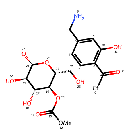 CCC(=O)c1ccc(CN)cc1O.COC(=O)O[C@H]1[C@H](O)[C@@H](O)[C@H]([O])O[C@@H]1CO